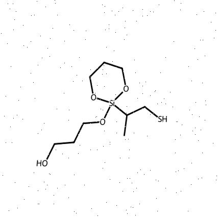 CC(CS)[Si]1(OCCCO)OCCCO1